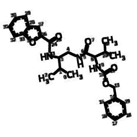 CC(C)C(CNC(=O)C(NC(=O)OCc1ccccc1)C(C)C)NC(=O)c1cc2ccccc2o1